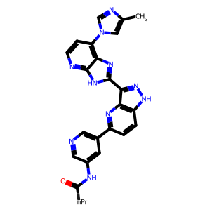 CCCC(=O)Nc1cncc(-c2ccc3[nH]nc(-c4nc5c(-n6cnc(C)c6)ccnc5[nH]4)c3n2)c1